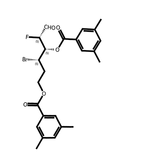 Cc1cc(C)cc(C(=O)OCC[C@H](Br)[C@@H](OC(=O)c2cc(C)cc(C)c2)[C@H](F)C=O)c1